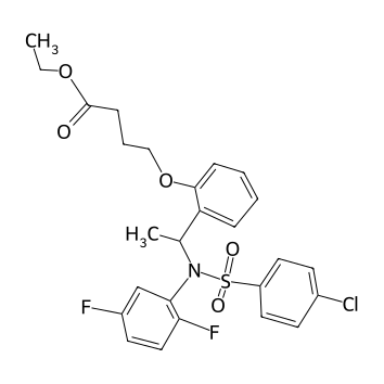 CCOC(=O)CCCOc1ccccc1C(C)N(c1cc(F)ccc1F)S(=O)(=O)c1ccc(Cl)cc1